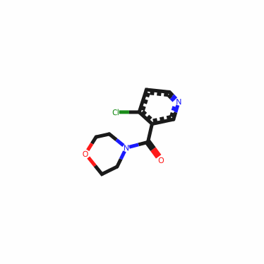 O=C(c1cnccc1Cl)N1CCOCC1